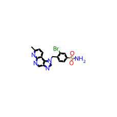 Cc1ccc2c(ncc3ncn(Cc4ccc(S(N)(=O)=O)cc4Br)c32)n1